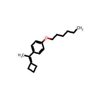 CCCCCCOc1ccc(C(C)=C2CCC2)cc1